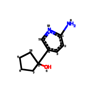 Nc1ccc(C2(O)CCCC2)cn1